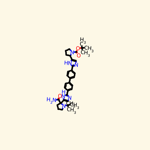 CC(C)(C)OC(=O)N1CCCC1c1cnc(-c2ccc(-c3ccc(-c4ncc(C5(C(N)=O)CCCN5C(C)(C)C)[nH]4)cc3)cc2)[nH]1